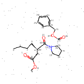 CCCC[C@H](CC(=O)OC)C(=O)N1CCC[C@H]1C(=O)OCc1ccccc1